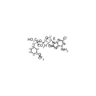 Nc1nc(Cl)nc2c1ncn2[C@]1(F)CO[C@H](COC(Cc2cccc(OC(F)(F)F)c2)(C(=O)O)C(=O)O)[C@H]1O